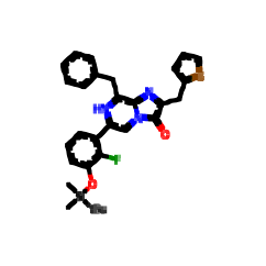 CC(C)(C)[Si](C)(C)Oc1cccc(-c2cn3c(=O)c(Cc4cccs4)nc-3c(Cc3ccccc3)[nH]2)c1F